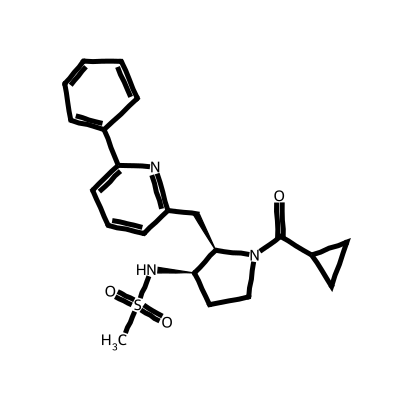 CS(=O)(=O)N[C@@H]1CCN(C(=O)C2CC2)[C@@H]1Cc1cccc(-c2ccccc2)n1